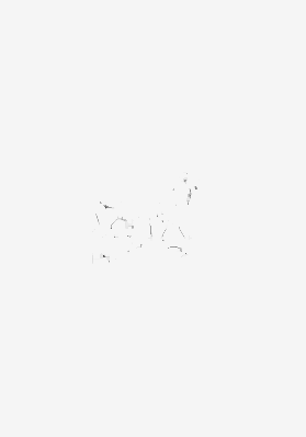 CS(=O)(=O)CCCn1c(CN2C(=O)C3(CCNCC3)c3ccncc32)cc2cc(Cl)ccc21